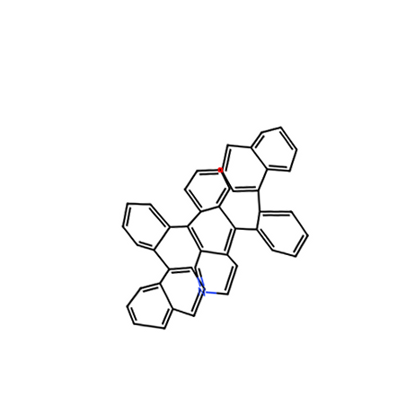 c1ccc(-c2c3ccccc3c(-c3ccccc3-c3cccc4ccccc34)c3cnccc23)c(-c2cccc3ccccc23)c1